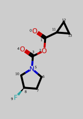 O=C(OC(=O)N1CC[C@@H](F)C1)C1CC1